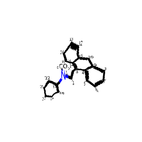 O=C(O)N(Cc1c2ccccc2cc2ccccc12)C1CCCCC1